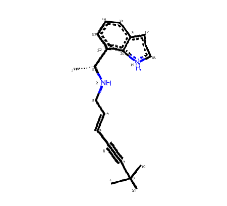 C[C@@H](NC/C=C/C#CC(C)(C)C)c1cccc2cc[nH]c12